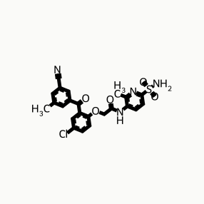 Cc1cc(C#N)cc(C(=O)c2cc(Cl)ccc2OCC(=O)Nc2ccc(S(N)(=O)=O)nc2C)c1